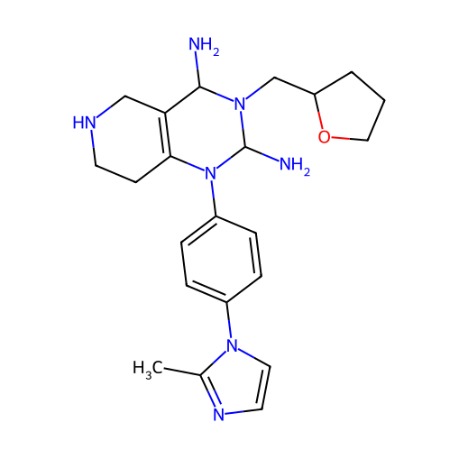 Cc1nccn1-c1ccc(N2C3=C(CNCC3)C(N)N(CC3CCCO3)C2N)cc1